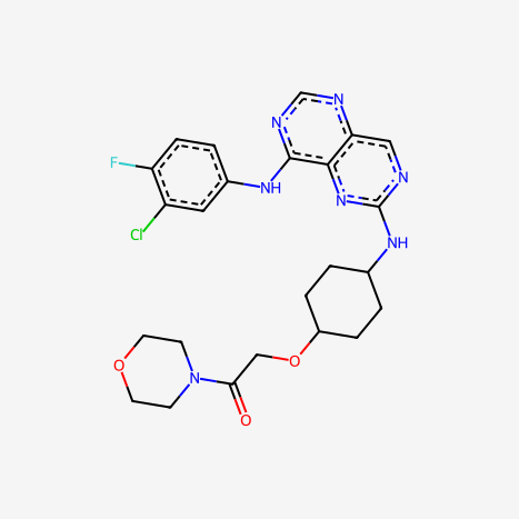 O=C(COC1CCC(Nc2ncc3ncnc(Nc4ccc(F)c(Cl)c4)c3n2)CC1)N1CCOCC1